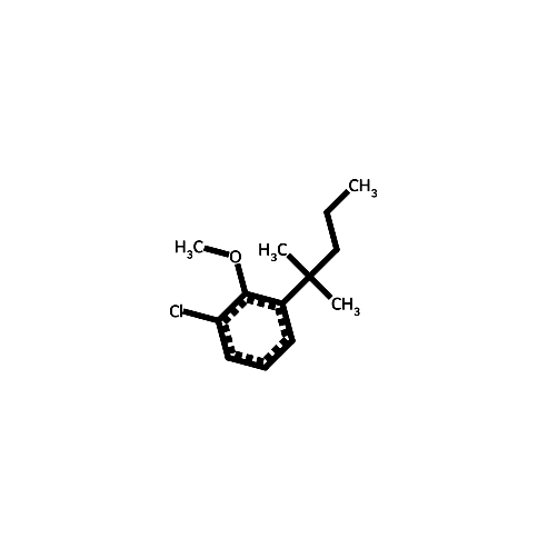 CCCC(C)(C)c1cccc(Cl)c1OC